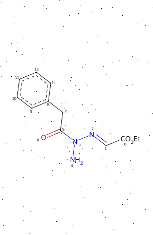 CCOC(=O)C=NN(N)C(=O)Cc1ccccc1